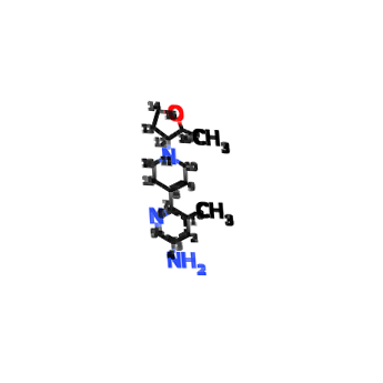 Cc1cc(N)cnc1C1=CCN(C2CCOC2C)CC1